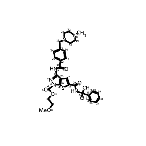 COCCOC(=O)n1nc(NC(=O)c2ccc(CN3CCN(C)CC3)cc2)c2cc(C(=O)NC(C)(C)c3ccccc3)sc21